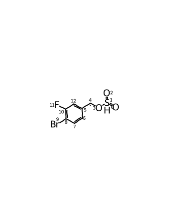 O=[SH](=O)O[CH]c1ccc(Br)c(F)c1